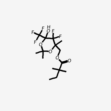 CCC(C)(C)C(=O)OCC1(C)OC(C)(C)OC(O)(C(F)(F)F)C1(F)F